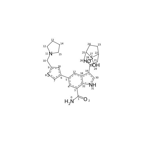 NC(=O)c1cc(-c2csc(CN3CCCC3)c2)cc2c(C3CC4CCC(C3)S4(O)O)c[nH]c12